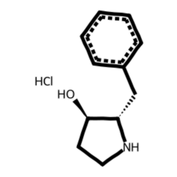 Cl.O[C@@H]1CCN[C@H]1Cc1ccccc1